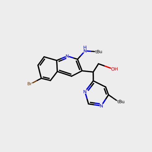 CC(C)(C)Nc1nc2ccc(Br)cc2cc1C(CO)c1cc(C(C)(C)C)ncn1